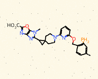 Cc1ccc(COc2cccc(N3CCC4(CC3)CC4c3nc4nc(C(=O)O)oc4n3C)n2)c(P)c1